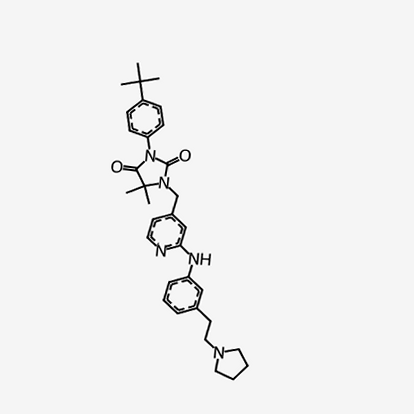 CC(C)(C)c1ccc(N2C(=O)N(Cc3ccnc(Nc4cccc(CCN5CCCC5)c4)c3)C(C)(C)C2=O)cc1